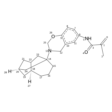 C=C(C)C(=O)Nc1ccc2c(c1)CN(C13CCC[C@H]4C[C@@H](CC4C1)C3)CO2